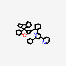 C1=CC2c3ccccc3C3(c4ccccc4Oc4ccc(-c5ccccc5-c5cc(-c6ccccn6)cc(-c6ccccc6)n5)cc43)C2C=C1